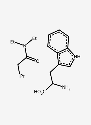 CCN(CC)C(=O)CC(C)C.NC(Cc1c[nH]c2ccccc12)C(=O)O